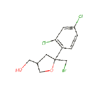 OCC1COC(CBr)(c2ccc(Cl)cc2Cl)C1